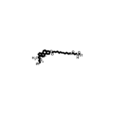 CCC(=O)NCCC(=O)NCCCCCCCCCCCC(=O)OC1CCC2(C)C(=CCC3C2CCC2(C)C(C(C)CCCC(C)C)CCC32)C1